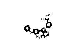 CC[C@@H](C)CC(O)N1CCC[C@@H](n2nc(-c3ccc(Oc4ccccc4)cc3)c3c(N)ncnc32)C1